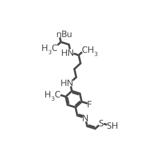 CCCCC(C)CNC(C)CCCNc1cc(F)c(/C=N/C=C\SS)cc1C